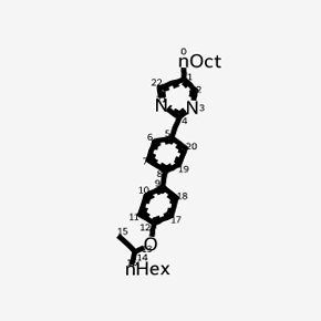 CCCCCCCCc1cnc(-c2ccc(-c3ccc(OC(C)CCCCCC)cc3)cc2)nc1